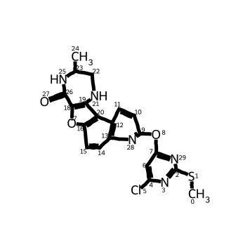 CSc1nc(Cl)cc(Oc2ccc3c(ccc4oc5c(c43)NCC(C)NC5=O)n2)n1